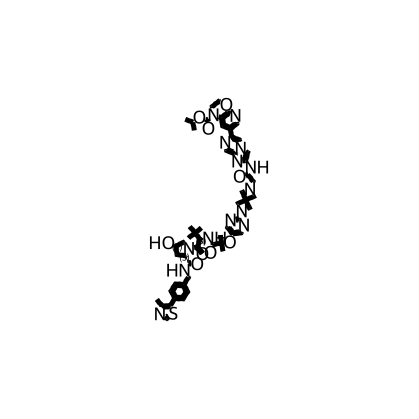 Cc1ncsc1-c1ccc(CNC(=O)[C@@H]2C[C@@H](O)CN2C(=O)[C@@H](NC(=O)C(C)(C)Oc2cnc(N3CC4(CN(CC(=O)Nc5cn6cc(-c7cnc8c(c7)N(C(=O)OC(C)C)CCO8)ncc6n5)C4)C3)nc2)C(C)(C)C)cc1